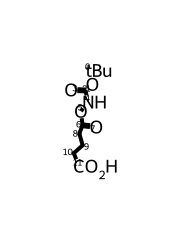 CC(C)(C)OC(=O)NOC(=O)CCCC(=O)O